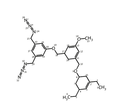 CCC1=CC(CC)CC(OCC2=CC(OC)=CC(COc3cc(CN=[N+]=[N-])cc(CN=[N+]=[N-])c3)C2)C1